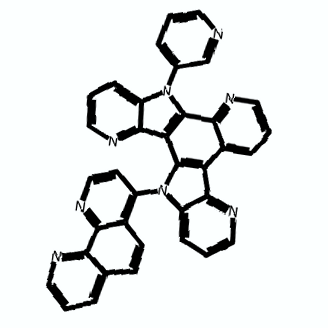 c1cncc(-n2c3cccnc3c3c2c2ncccc2c2c4ncccc4n(-c4ccnc5c4ccc4cccnc45)c23)c1